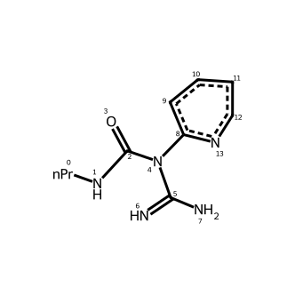 CCCNC(=O)N(C(=N)N)c1ccccn1